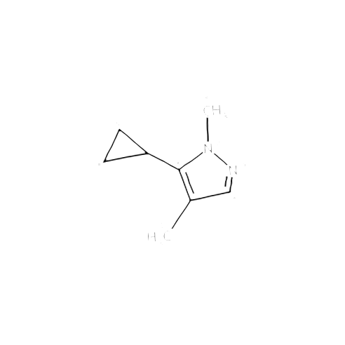 Cc1[c]nn(C)c1C1CC1